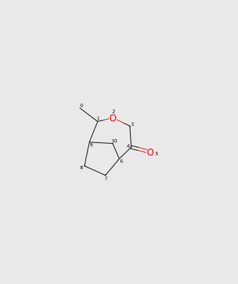 CC1OCC(=O)C2CCC1C2